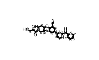 N#Cc1cc(-c2ccnc(Nc3ccccn3)n2)ccc1OC1CCN(C(=O)[C@@H](O)CO)CC1(F)F